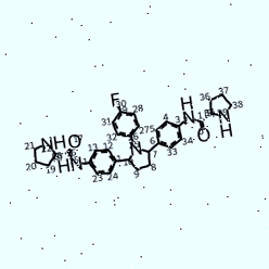 O=C(Nc1ccc(C2CCC(c3ccc(NC(=O)[C@@H]4CCCN4)cc3)N2c2ccc(F)cc2)cc1)[C@@H]1CCCN1